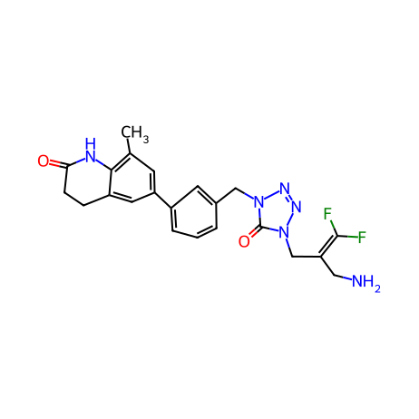 Cc1cc(-c2cccc(Cn3nnn(CC(CN)=C(F)F)c3=O)c2)cc2c1NC(=O)CC2